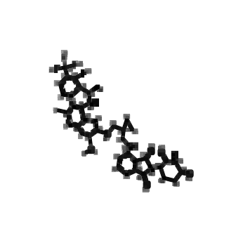 COc1cc2nc(C)nc(N[C@H](C)c3cccc(C(F)(F)F)c3F)c2cc1OCC1(CNc2cccc3c2C(=O)N(C2CCC(=O)NC2=O)C3=O)CC1